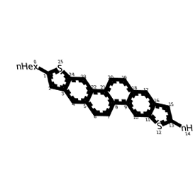 CCCCCCc1cc2cc3ccc4c5cc6sc(CCCCCC)cc6cc5ccc4c3cc2s1